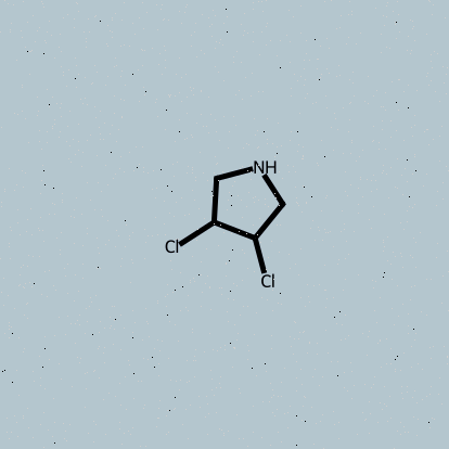 ClC1CNCC1Cl